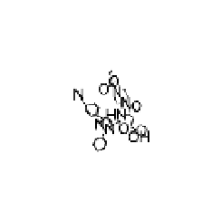 CCOC(=O)N1CCN(C(=O)C(CCC(=O)O)NC(=O)c2cc(-c3ccc(C#N)cc3)nc(-c3ccccc3)n2)CC1